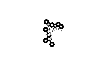 CC1(C)c2cc3c(cc2-c2ccc4ccccc4c21)c1ccccc1n3-c1cccc(-c2ncc3nc(-c4ccccc4)c4ccccc4c3n2)c1